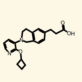 O=C(O)CCc1ccc2c(c1)CCN(c1cccnc1OC1CCC1)C2